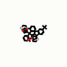 CC(C)(C)c1ccc2c(c1)Cc1c-2ccc(C(C)(C)C)c1C(C1=CC=CC1)(c1ccccc1N1CCOCC1)c1ccccc1N1CCOCC1